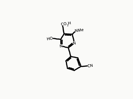 CNc1nc(-c2cccc(C#N)c2)nc(O)c1C(=O)O